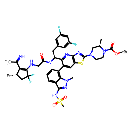 CC[C@H]1CC(F)(F)C(NCC(=O)N[C@@H](Cc2cc(F)cc(F)c2)c2nc3nc(N4CCN(C(=O)OC(C)(C)C)[C@H](C)C4)sc3cc2-c2cccc3c(NS(C)(=O)=O)nn(C)c23)=C1C(=N)C(F)(F)F